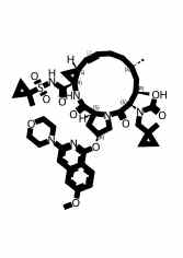 COc1ccc2c(O[C@@H]3C[C@H]4C(=O)N[C@]5(C(=O)NS(=O)(=O)C6(C)CC6)C[C@H]5/C=C\CC[C@H](C)C[C@@H](C)[C@H](N(CC5(C)CC5)C(=O)O)C(=O)N4C3)nc(N3CCOCC3)cc2c1